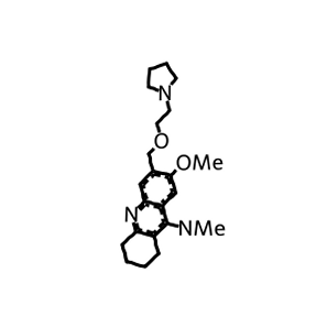 CNc1c2c(nc3cc(COCCN4CCCC4)c(OC)cc13)CCCC2